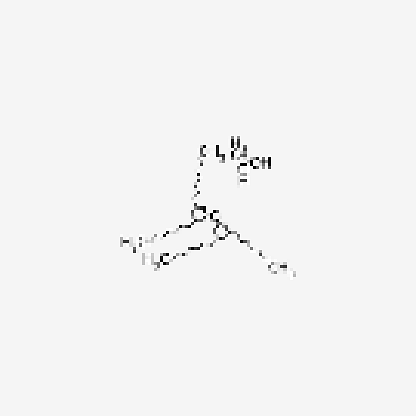 CCC(O)O.CCCCCCCCc1cc(CCCCCCCC)cc(Oc2cc(CCCCCCCC)cc(CCCCCCCC)c2)c1